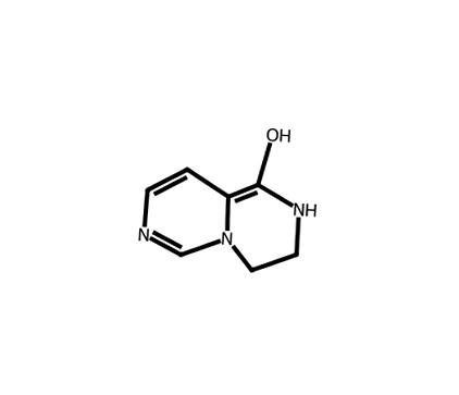 OC1=C2C=CN=CN2CCN1